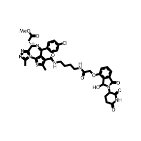 COC(=O)C[C@@H]1N=C(c2ccc(Cl)cc2)c2c(sc(C)c2C(=O)NCCCCNC(=O)COc2cccc3c2C(O)N(C2CCC(=O)NC2=O)C3=O)-n2c(C)nnc21